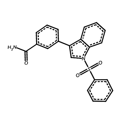 NC(=O)c1cccc(-c2cn(S(=O)(=O)c3ccccc3)c3ccccc23)c1